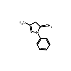 C=C1CC(C)=NN1c1ccccc1